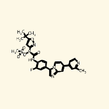 Cc1cc(-c2ccn3c(-c4ccc(NC(=O)N(OS(C)(=O)=O)c5cc(C(C)(C)C)on5)c(F)c4)cnc3c2)ccn1